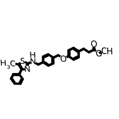 COC(=O)CCc1ccc(OCc2ccc(CNc3nc(-c4ccccc4)c(C)s3)cc2)cc1